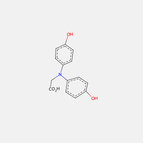 O=C(O)CN(c1ccc(O)cc1)c1ccc(O)cc1